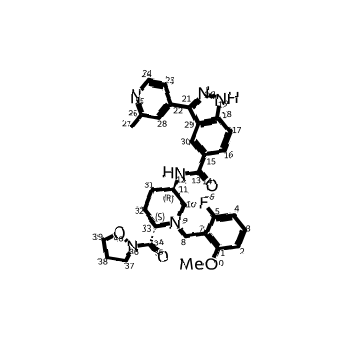 COc1cccc(F)c1CN1C[C@H](NC(=O)c2ccc3[nH]nc(-c4ccnc(C)c4)c3c2)CC[C@H]1C(=O)N1CCCO1